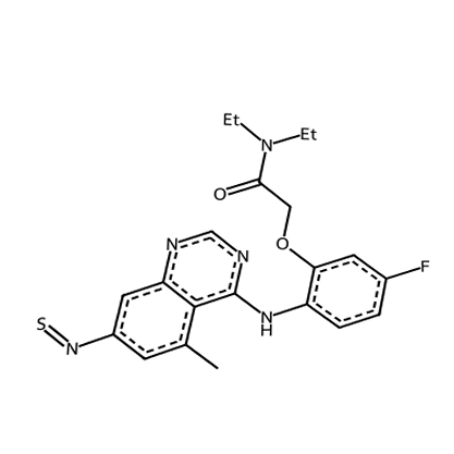 CCN(CC)C(=O)COc1cc(F)ccc1Nc1ncnc2cc(N=S)cc(C)c12